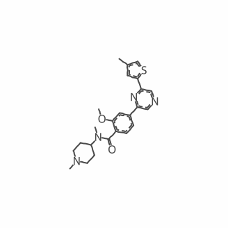 COc1cc(-c2cncc(-c3cc(C)cs3)n2)ccc1C(=O)N(C)C1CCN(C)CC1